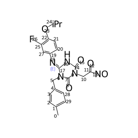 Cc1ccc(Cn2c(=O)n(CC(=O)N=O)c(=O)[nH]/c2=N\c2ccc(OC(C)C)c(F)c2)cc1